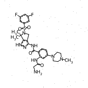 CN1CCN(c2ccc(C(=O)Nc3n[nH]c4c3CN(S(=O)(=O)c3cc(F)cc(F)c3)C4(C)C)c(NC(=O)CN)c2)CC1